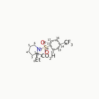 CC[C@@]1(C(=O)O)CCCCN1S(=O)(=O)c1ccc(C(F)(F)F)cc1